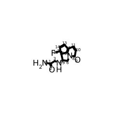 NC(=O)CN[C@H]1Cn2c(=O)ccc3ccc(F)c1c32